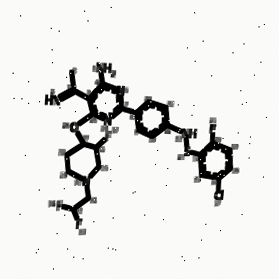 CC(=N)c1c(N)nc(-c2ccc(NSc3cc(Cl)ccc3F)cc2)nc1OC1CCN(CC(F)F)CC1F